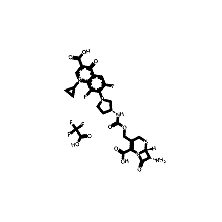 N[C@@H]1C(=O)N2C(C(=O)O)=C(COC(=O)N[C@@H]3CCN(c4c(F)cc5c(=O)c(C(=O)O)cn(C6CC6)c5c4F)C3)CS[C@H]12.O=C(O)C(F)(F)F